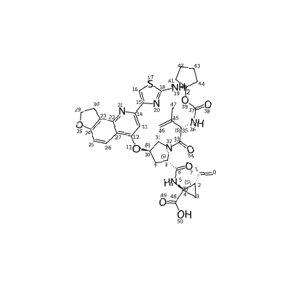 C=C[C@@H]1C[C@]1(NC(=O)[C@@H]1C[C@@H](Oc2cc(-c3csc(N)n3)nc3c4c(ccc23)OCC4)CN1C(=O)[C@@H](NC(=O)OC1CCCC1)C(=C)C)C(=O)O